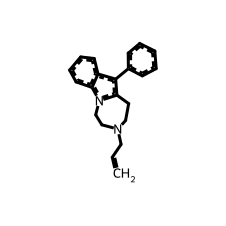 C=CCN1CCc2c(-c3ccccc3)c3ccccc3n2CC1